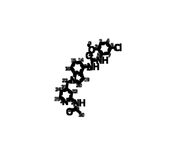 COc1ccc(Cl)cc1NC(=O)Nc1cccc2c1ccn2Cc1ccnc(NC(C)=O)c1